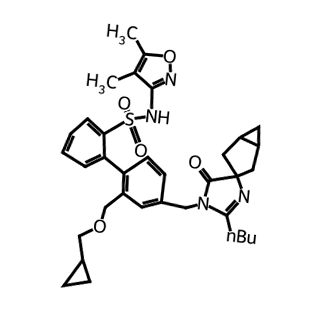 CCCCC1=NC2(CC3CC3C2)C(=O)N1Cc1ccc(-c2ccccc2S(=O)(=O)Nc2noc(C)c2C)c(COCC2CC2)c1